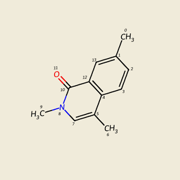 Cc1ccc2c(C)cn(C)c(=O)c2c1